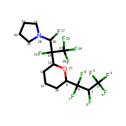 FC(C(F)(F)F)C(F)(F)C1CCCC(C(F)(C(F)N2CCCC2)C(F)(F)F)O1